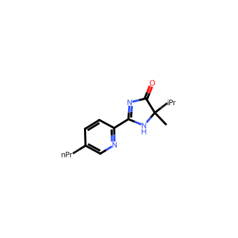 CCCc1ccc(C2=NC(=O)C(C)(C(C)C)N2)nc1